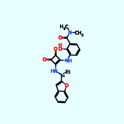 CC[C@@H](Nc1c(Nc2cccc(C(=O)N(C)C)c2O)c(=O)c1=O)c1cc2ccccc2o1